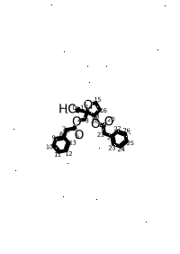 C#CC1(COC(=O)Cc2ccccc2)OCC[C@@H]1OC(=O)Cc1ccccc1